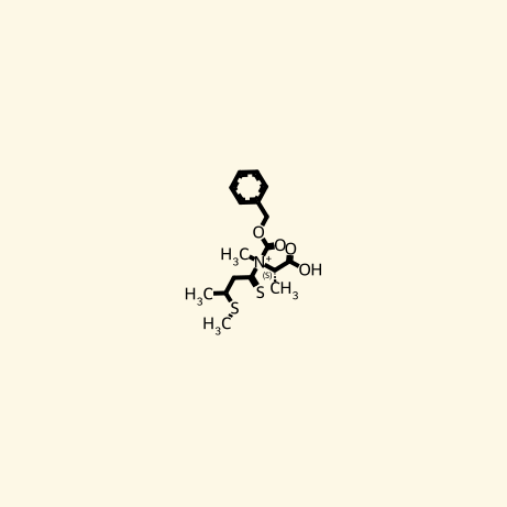 CSC(C)CC(=S)[N+](C)(C(=O)OCc1ccccc1)[C@@H](C)C(=O)O